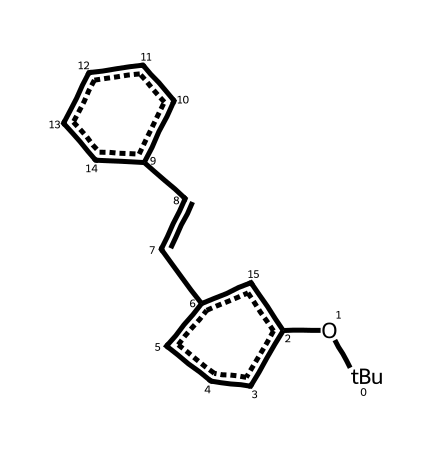 CC(C)(C)Oc1cccc(C=Cc2ccccc2)c1